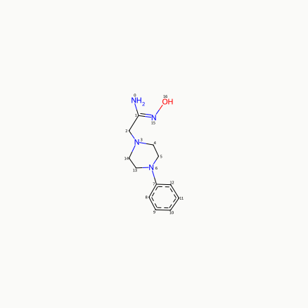 NC(CN1CCN(c2ccccc2)CC1)=NO